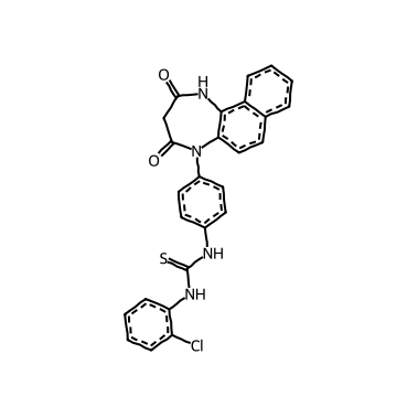 O=C1CC(=O)N(c2ccc(NC(=S)Nc3ccccc3Cl)cc2)c2ccc3ccccc3c2N1